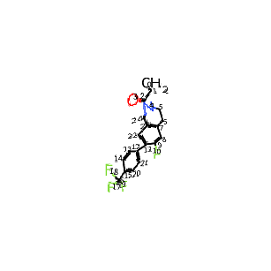 C=CC(=O)N1CCc2cc(F)c(-c3ccc(C(F)(F)F)cc3)cc2C1